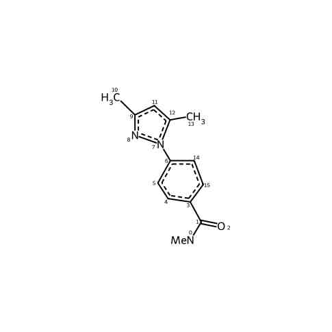 CNC(=O)c1ccc(-n2nc(C)cc2C)cc1